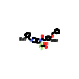 COc1cc(CC(=O)N2CCC3(CCN(Cc4ccccc4OCC(C)C)CC3)C2)ccc1OCc1ccccc1.O=C(O)C(F)(F)F